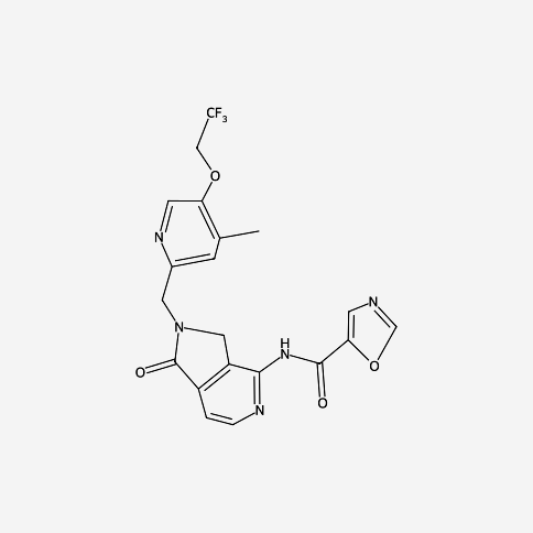 Cc1cc(CN2Cc3c(ccnc3NC(=O)c3cnco3)C2=O)ncc1OCC(F)(F)F